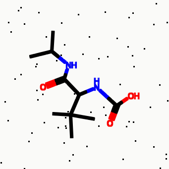 CC(C)NC(=O)C(NC(=O)O)C(C)(C)C